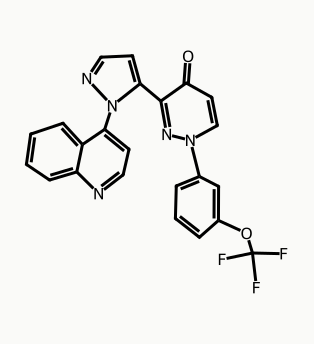 O=c1ccn(-c2cccc(OC(F)(F)F)c2)nc1-c1ccnn1-c1ccnc2ccccc12